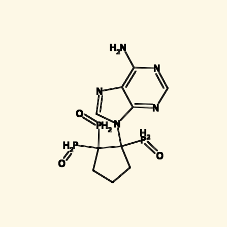 Nc1ncnc2c1ncn2C1([PH2]=O)CCCC1([PH2]=O)[PH2]=O